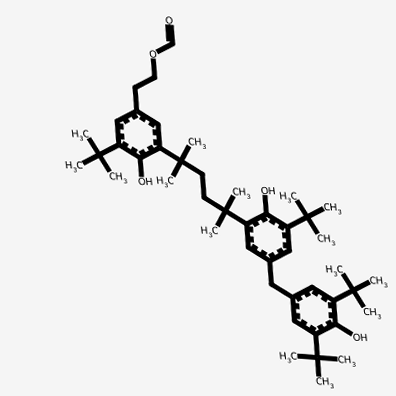 CC(C)(C)c1cc(Cc2cc(C(C)(C)C)c(O)c(C(C)(C)CCC(C)(C)c3cc(CCOC=O)cc(C(C)(C)C)c3O)c2)cc(C(C)(C)C)c1O